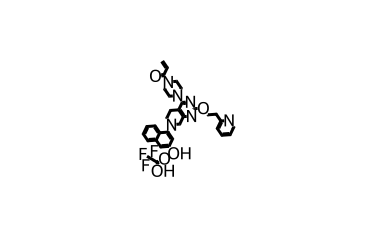 C=CC(=O)N1CCN(c2nc(OCCc3ccccn3)nc3c2CCN(c2cc(O)cc4ccccc24)C3)CC1.O=C(O)C(F)(F)F